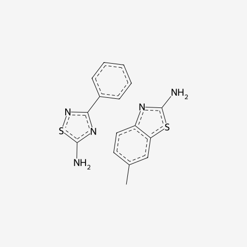 Cc1ccc2nc(N)sc2c1.Nc1nc(-c2ccccc2)ns1